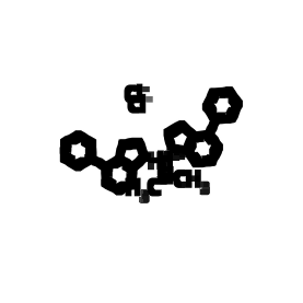 C[SiH](C)[Hf+2]([CH]1C=Cc2c(-c3ccccc3)cccc21)[CH]1C=Cc2c(-c3ccccc3)cccc21.[Cl-].[Cl-]